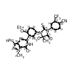 CCCc1nn(C)c2c(=O)[nH]c(-c3cc(N4C(=S)N(c5ccc(C#N)c(C(F)(F)F)c5)C(=O)C4(C)C)ccc3OCC)nc12